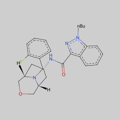 CCCCn1nc(C(=O)N[C@H]2C[C@H]3COC[C@@H](C2)N3Cc2ccccc2F)c2ccccc21